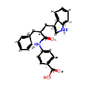 O=C(O)c1ccc(NC(=O)C(Cc2ccccc2)Cc2c[nH]c3ccccc23)cc1